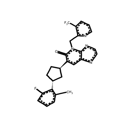 Cc1cccc(F)c1[C@@H]1CC[C@@H](c2cc3nccnc3n(Cc3ncccc3C(F)(F)F)c2=O)C1